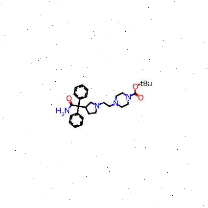 CC(C)(C)OC(=O)N1CCN(CCN2CCC(C(C(N)=O)(c3ccccc3)c3ccccc3)C2)CC1